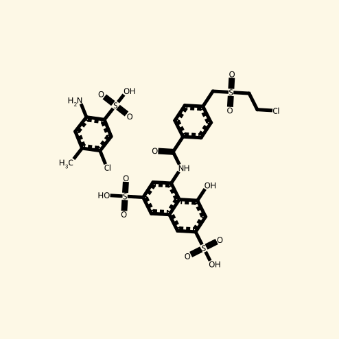 Cc1cc(N)c(S(=O)(=O)O)cc1Cl.O=C(Nc1cc(S(=O)(=O)O)cc2cc(S(=O)(=O)O)cc(O)c12)c1ccc(CS(=O)(=O)CCCl)cc1